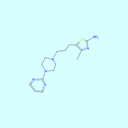 Cc1nc(N)sc1CCCN1CCN(c2ncccn2)CC1